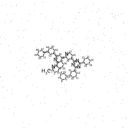 Cc1cc(-c2cccc(-c3cccc(-c4nc(-c5ccccc5)nc(-c5ccncc5)n4)c3)c2)c2ccc3ccc(-c4cccc(-c5ccccc5)c4)nc3c2n1